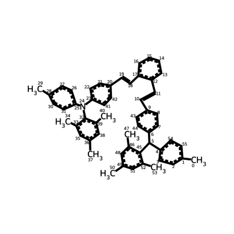 Cc1ccc(C(c2ccc(C=Cc3ccccc3C=Cc3ccc(N(c4ccc(C)cc4)c4c(C)cc(C)cc4C)cc3)cc2)c2c(C)cc(C)cc2C)cc1